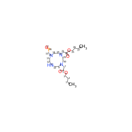 CCCCOC(=O)CN1CCNCCN(CP=O)CCN(CC(=O)OCCCC)CC1